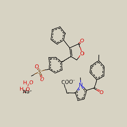 CS(=O)(=O)c1ccc(C2=C(c3ccccc3)C(=O)OC2)cc1.Cc1ccc(C(=O)c2ccc(CC(=O)[O-])n2C)cc1.O.O.[Na+]